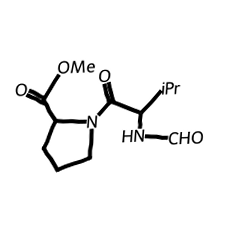 COC(=O)C1CCCN1C(=O)C(NC=O)C(C)C